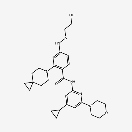 O=C(Nc1cc(C2CC2)cc(N2CCOCC2)n1)c1ccc(NSCCO)cc1N1CCC2(CC1)CC2